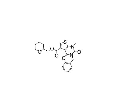 Cn1c(=O)n(Cc2ccccc2)c(=O)c2c(C(=O)OCC3CCCCO3)csc21